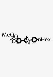 CCCCCCc1ccc(-c2ncc(-c3ccc(OC(C)C(=O)OC)cc3)cn2)cc1